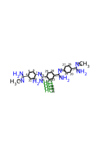 CN=C(N)c1ccc(N=C(N)c2ccc(C(N)=Nc3ccc(C(N)=NC)cc3)cc2)cc1.Cl.Cl.Cl.Cl